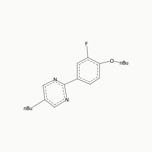 CCCCOc1ccc(-c2ncc(CCCC)cn2)cc1F